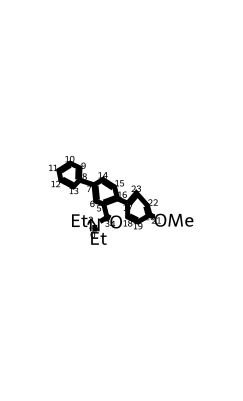 CCN(CC)C(=O)c1cc(-c2ccccc2)ccc1-c1ccc(OC)cc1